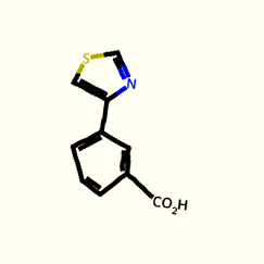 O=C(O)c1cccc(-c2cscn2)c1